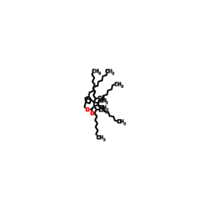 CCCCCCCCCC1CC23COC(=O)C(C(C)CCCCCCCC)(C(C)CCCCCCCC)C(C(C)CCCCCCCC)(C(C)CCCCCCCC)C1(C2)C3